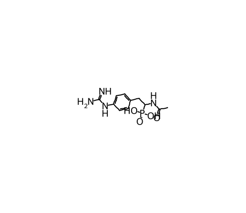 CC(=O)NC(Cc1ccc(NC(=N)N)cc1)P(=O)(O)O